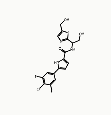 O=C(NC(CO)c1ncc(CO)s1)c1ccc(-c2cc(F)c(Cl)c(F)c2)[nH]1